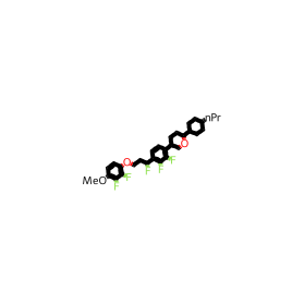 CCCC1CCC(C2CCC(c3ccc(C(F)CCOc4ccc(OC)c(F)c4F)c(F)c3F)CO2)CC1